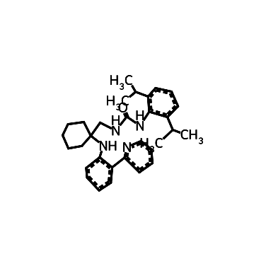 CC(C)c1cccc(C(C)C)c1NC(=O)NCC1(Nc2ccccc2-c2ccccn2)CCCCC1